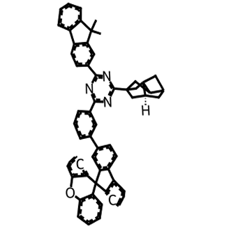 CC1(C)c2ccccc2-c2ccc(-c3nc(-c4cccc(-c5ccc6c(c5)C5(c7ccccc7Oc7ccccc75)c5ccccc5-6)c4)nc(C45CC6C7C[C@@H](C4)C6(C7)C5)n3)cc21